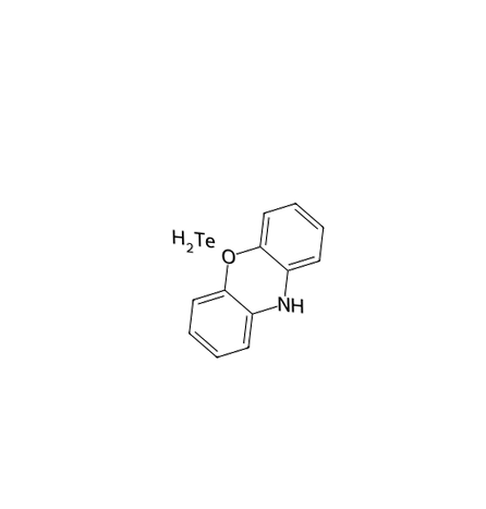 [TeH2].c1ccc2c(c1)Nc1ccccc1O2